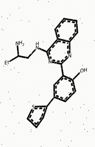 CCC(N)CNc1nc(-c2cc(-c3cccs3)ccc2O)nc2ccccc12